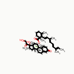 CC=C(C)C=CC=C(C)C=CC1=C(C)CCCC1(C)C(=O)O[C@H]1C[C@@]2(C)[C@@H](C[C@H](C)[C@]2(O)C(=O)CO)[C@@H]2CCC3=CC(=O)C=C[C@]3(C)[C@@]12F